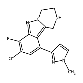 Cn1ccc(-c2cc(Cl)c(F)c3nn4c(c23)CNCC4)n1